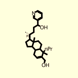 CCCC1(C)C(CO)=CCC2C1CCC1(C)C2CCC1[C@H](C)CCC(O)c1cccnc1